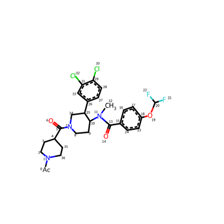 CC(=O)N1CCC(C(=O)N2CCC(N(C)C(=O)c3ccc(OC(F)F)cc3)C(c3ccc(Cl)c(Cl)c3)C2)CC1